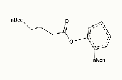 CCCCCCCCCCCCCC(=O)Oc1ccccc1CCCCCCCCC